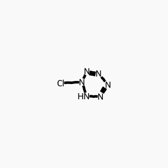 ClN1N=NN=NN1